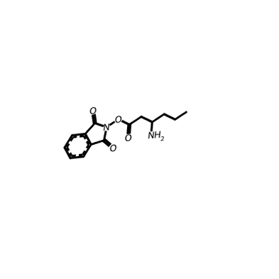 CCCC(N)CC(=O)ON1C(=O)c2ccccc2C1=O